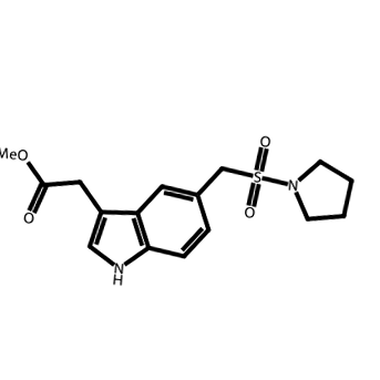 COC(=O)Cc1c[nH]c2ccc(CS(=O)(=O)N3CCCC3)cc12